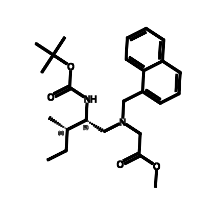 CC[C@H](C)[C@@H](CN(CC(=O)OC)Cc1cccc2ccccc12)NC(=O)OC(C)(C)C